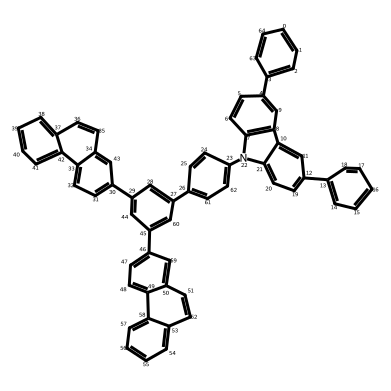 c1ccc(-c2ccc3c(c2)c2cc(-c4ccccc4)ccc2n3-c2ccc(-c3cc(-c4ccc5c(ccc6ccccc65)c4)cc(-c4ccc5c(ccc6ccccc65)c4)c3)cc2)cc1